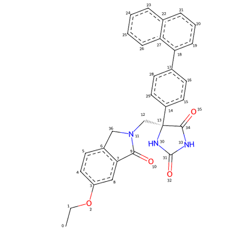 CCOc1ccc2c(c1)C(=O)N(C[C@@]1(c3ccc(-c4cccc5ccccc45)cc3)NC(=O)NC1=O)C2